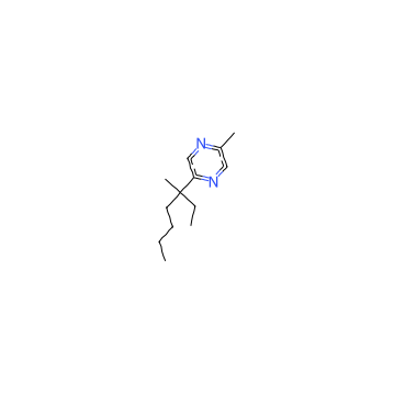 CCCCC(C)(CC)c1cnc(C)cn1